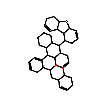 C1=CCC(C2CCC3CCC=CC3C2)C(C2C3CC=CCC3C(C3CC=CC4OC5CCC=CC5C43)C3CCCCC32)=C1